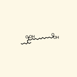 CCCCC(CC)CC(CCCCCCCCCCCCCC(=O)O)C(=O)O